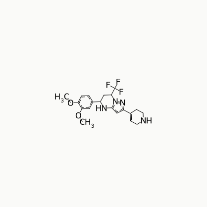 COc1ccc(C2CC(C(F)(F)F)n3nc(C4=CCNCC4)cc3N2)cc1OC